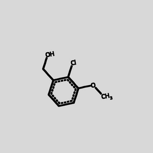 COc1cccc(CO)c1Cl